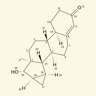 C[C@]12CC[C@H]3[C@@H](CCC4=CC(=O)CC[C@@H]43)[C@@H]1[C@H]1C[C@H]1[C@@H]2O